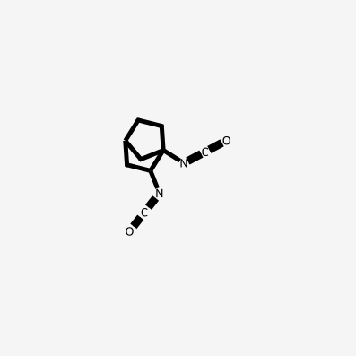 O=C=NC1CC2CCC1(N=C=O)C2